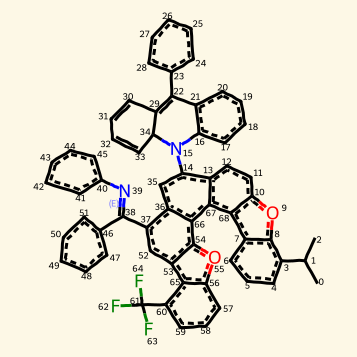 CC(C)c1cccc2c1oc1ccc3c(N4c5ccccc5C(c5ccccc5)=C5C=CC=CC54)cc4c(/C(=N/c5ccccc5)c5ccccc5)cc5c(oc6cccc(C(F)(F)F)c65)c4c3c12